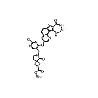 C[C@@H]1CNc2c(sc3ccc4nc(Oc5nc(Cl)ncc5CN5CCC6(CN(C(=O)OC(C)(C)C)C6)C5=O)cnc4c23)C(=O)N1